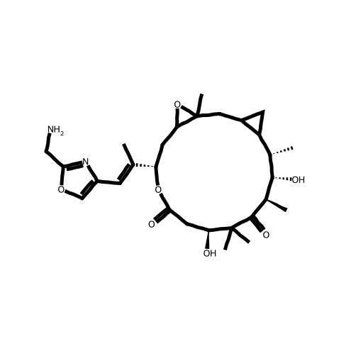 C/C(=C\c1coc(CN)n1)[C@@H]1CC2OC2(C)CC2CC2[C@H](C)[C@H](O)[C@@H](C)C(=O)C(C)(C)[C@@H](O)CC(=O)O1